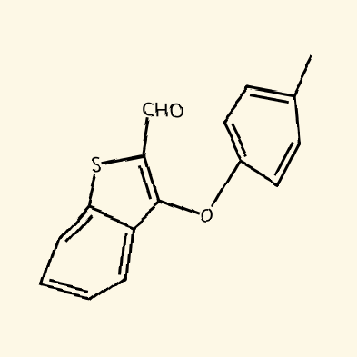 Cc1ccc(Oc2c(C=O)sc3ccccc23)cc1